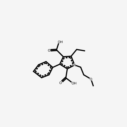 CCc1c(C(=O)O)c(-c2ccccc2)c(C(=O)O)n1CCOC